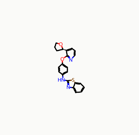 c1cnc(Oc2ccc(Nc3nc4ccccc4s3)cc2)c([C@H]2CCCO2)c1